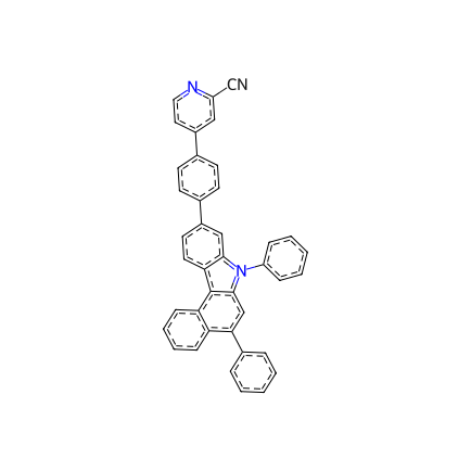 N#Cc1cc(-c2ccc(-c3ccc4c5c6ccccc6c(-c6ccccc6)cc5n(-c5ccccc5)c4c3)cc2)ccn1